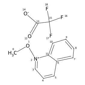 CO[n+]1cccc2ccccc21.O=C([O-])C(F)(F)F